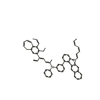 C=C/C(=C\C=C(/C)N(c1ccccc1)c1cccc(-c2cccc3c2c2cc4ccccc4cc2n3/C=C/C=C\C=C/C)c1)c1cc2c(c(/C=C\C)c1CC)C=CC=CC2